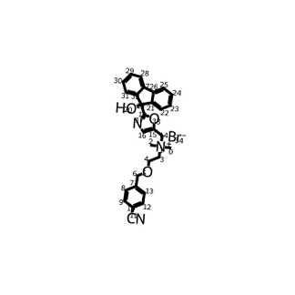 C[N+](C)(CCOCc1ccc(C#N)cc1)Cc1cnc(C2(O)c3ccccc3-c3ccccc32)o1.[Br-]